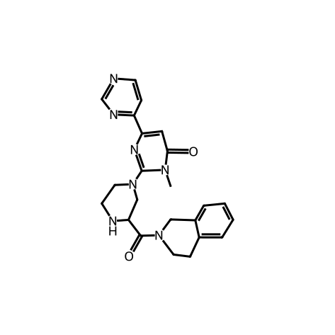 Cn1c(N2CCNC(C(=O)N3CCc4ccccc4C3)C2)nc(-c2ccncn2)cc1=O